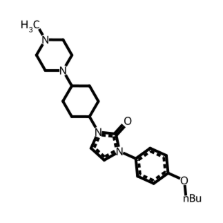 CCCCOc1ccc(-n2ccn(C3CCC(N4CCN(C)CC4)CC3)c2=O)cc1